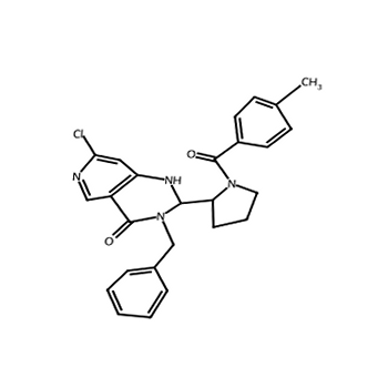 Cc1ccc(C(=O)N2CCCC2C2Nc3cc(Cl)ncc3C(=O)N2Cc2ccccc2)cc1